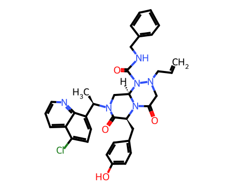 C=CCN1CC(=O)N2[C@@H](CN([C@H](C)c3ccc(Cl)c4cccnc34)C(=O)[C@@H]2Cc2ccc(O)cc2)N1C(=O)NCc1ccccc1